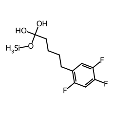 OC(O)(CCCCc1cc(F)c(F)cc1F)O[SiH3]